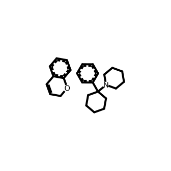 C1=Cc2ccccc2OC1.c1ccc(C2(N3CCCCC3)CCCCC2)cc1